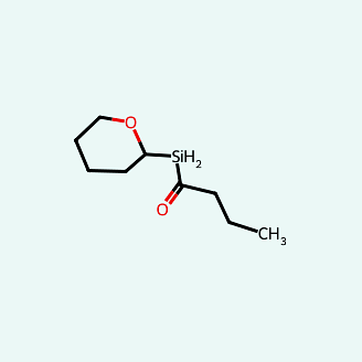 CCCC(=O)[SiH2]C1CCCCO1